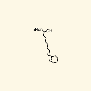 CCCCCCCCCC(O)CCCCCCOC1CCCCO1